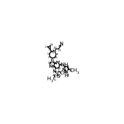 CCS(=O)(CC)=NC1=c2ncn([C@@H]3CCC(C4CC4)N(CCC#N)CC3)c2=NC(Nc2cc(C)[nH]n2)C1